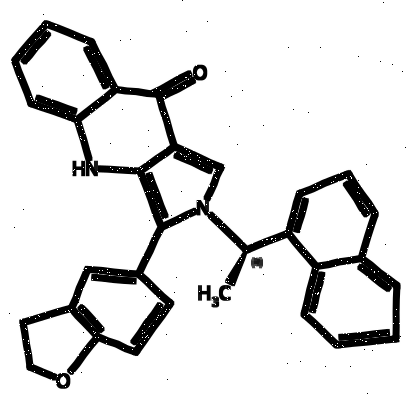 C[C@H](c1cccc2ccccc12)n1cc2c(=O)c3ccccc3[nH]c2c1-c1ccc2c(c1)CCO2